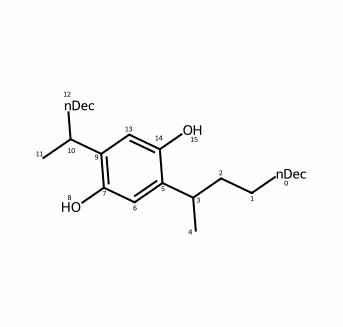 CCCCCCCCCCCCC(C)c1cc(O)c(C(C)CCCCCCCCCC)cc1O